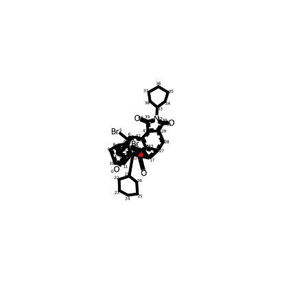 O=c1c2cc(Br)c3c4c2cccc4c2c(Br)cc(c(=O)n1C1CCCCC1)c1cc4c(=O)n(C5CCCCC5)c(=O)c4c3c12